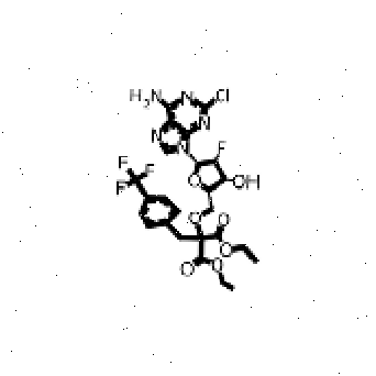 CCOC(=O)C(Cc1ccc(C(F)(F)F)cc1)(OC[C@H]1O[C@@H](n2cnc3c(N)nc(Cl)nc32)[C@@H](F)[C@@H]1O)C(=O)OCC